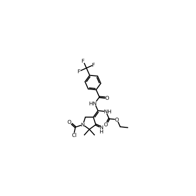 CCOC(=O)N/C(NC(=O)c1ccc(C(F)(F)F)cc1)=C1/CN(C(=O)Cl)C(C)(C)C1=N